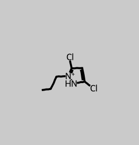 CCC[n+]1[nH]c(Cl)cc1Cl